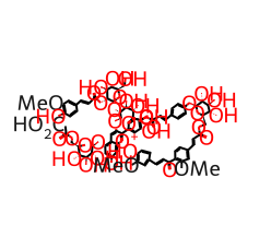 COc1cc(C=CC(=O)O[C@H]2[C@H](O[C@H]3[C@H](Oc4cc5c(O[C@@H]6O[C@H](COC(=O)CC(=O)O)[C@@H](O)[C@H](O)[C@H]6O)cc(O)cc5[o+]c4-c4ccc(O)c(O)c4)O[C@H](COC(=O)/C=C/c4ccc(O[C@@H]5O[C@H](COC(=O)/C=C/c6ccc(C(=O)/C=C/c7ccc(O)c(OC)c7)c(OC)c6)[C@@H](O)[C@H](O)[C@H]5O)cc4)[C@@H](O)[C@@H]3O)O[C@H](CO)[C@@H](O)[C@@H]2O)ccc1O